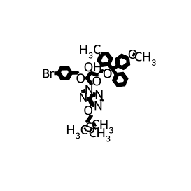 COc1ccc(C(OC[C@H]2O[C@@H](n3cnc4c(OCC[Si](C)(C)C)ncnc43)[C@H](OCc3ccc(Br)cc3)C2O)(c2ccccc2)c2ccc(C)cc2)cc1